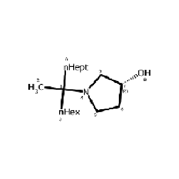 CCCCCCCC(C)(CCCCCC)N1CC[C@@H](O)C1